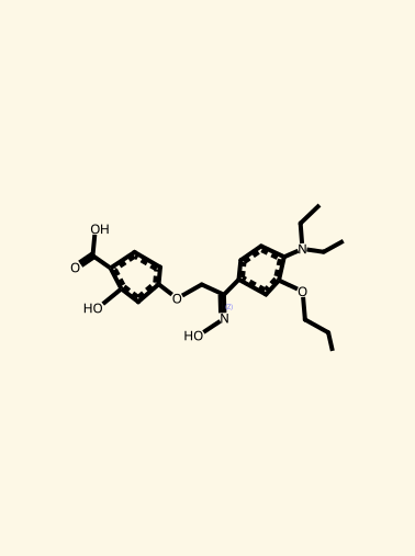 CCCOc1cc(/C(COc2ccc(C(=O)O)c(O)c2)=N/O)ccc1N(CC)CC